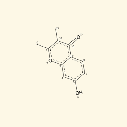 Cc1oc2cc(O)ccc2c(=O)c1C